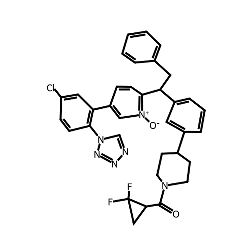 O=C(C1CC1(F)F)N1CCC(c2cccc(C(Cc3ccccc3)c3ccc(-c4cc(Cl)ccc4-n4cnnn4)c[n+]3[O-])c2)CC1